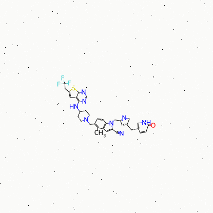 Cc1c(CN2CCC(Nc3ncnc4sc(CC(F)(F)F)cc34)CC2)ccc2c1cc(C#N)n2CC1=NCC(Cc2ccc(=O)[nH]c2)=C1